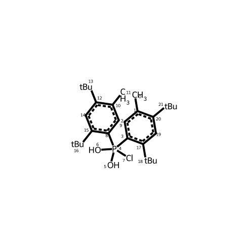 Cc1cc(P(O)(O)(Cl)c2cc(C)c(C(C)(C)C)cc2C(C)(C)C)c(C(C)(C)C)cc1C(C)(C)C